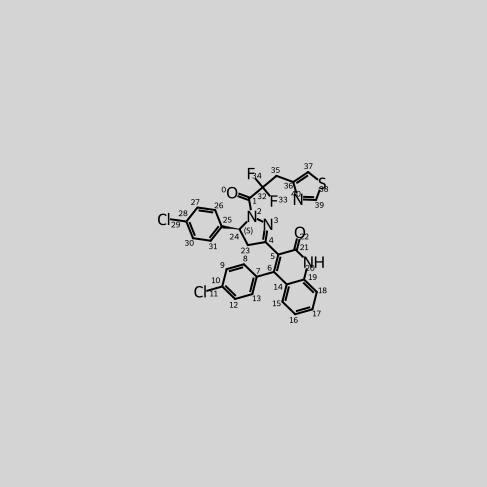 O=C(N1N=C(c2c(-c3ccc(Cl)cc3)c3ccccc3[nH]c2=O)C[C@H]1c1ccc(Cl)cc1)C(F)(F)Cc1cscn1